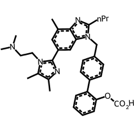 CCCc1nc2c(C)cc(-c3nc(C)c(C)n3CCN(C)C)cc2n1Cc1ccc(-c2ccccc2OC(=O)O)cc1